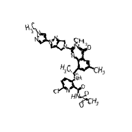 Cc1cc([C@@H](C)Nc2ccc(Cl)nc2C(=O)NS(C)(=O)=O)c2nc(N3Cc4cn(-c5cnn(C)c5)nc4C3)n(C)c(=O)c2c1